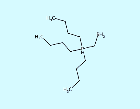 BC[PH](CCCC)(CCCC)CCCC